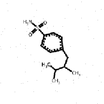 CC(C)C(C)Cc1ccc(S(N)(=O)=O)cc1